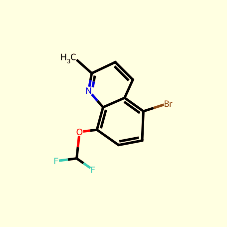 Cc1ccc2c(Br)ccc(OC(F)F)c2n1